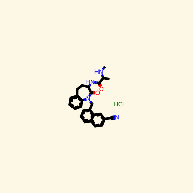 CNC(C)C(=O)NC1CCc2ccccc2N(Cc2cccc3ccc(C#N)cc23)C1=O.Cl